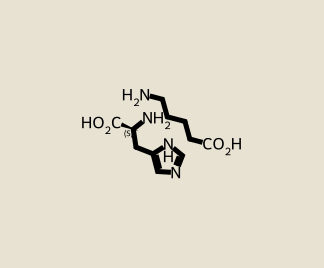 NCCCCC(=O)O.N[C@@H](Cc1cnc[nH]1)C(=O)O